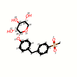 CS(=O)(=O)c1ccc(Cc2ccc(O[C@H]3OC[C@@H](O)[C@H](O)[C@H]3O)cc2)cc1